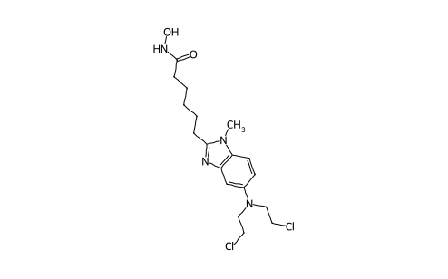 Cn1c(CCCCCC(=O)NO)nc2cc(N(CCCl)CCCl)ccc21